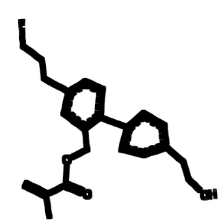 C=C(C)C(=O)OCc1cc(CCCF)ccc1-c1ccc(CCO)cc1